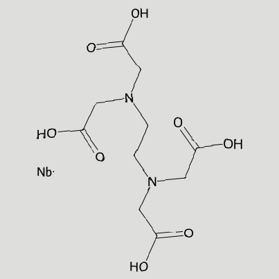 O=C(O)CN(CCN(CC(=O)O)CC(=O)O)CC(=O)O.[Nb]